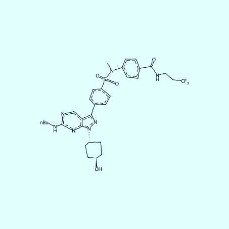 CCCCNc1ncc2c(-c3ccc(S(=O)(=O)N(C)c4ccc(C(=O)NCCC(F)(F)F)cc4)cc3)nn([C@H]3CC[C@H](O)CC3)c2n1